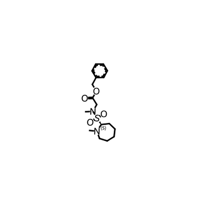 CN1CCCCC[C@@H]1S(=O)(=O)N(C)CC(=O)OCc1ccccc1